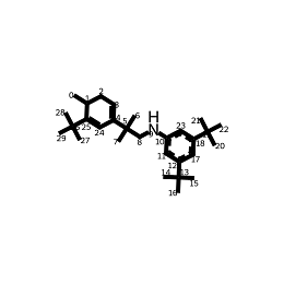 CC1CC=C(C(C)(C)CNc2cc(C(C)(C)C)cc(C(C)(C)C)c2)C=C1C(C)(C)C